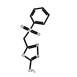 Cc1nnc(CS(=O)(=O)c2ccccc2)o1